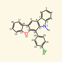 Cn1c2ccccc2c2cc3c(oc4ccccc43)c(-c3ccc(Br)cc3)c21